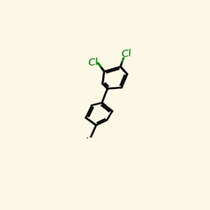 [CH2]c1ccc(-c2ccc(Cl)c(Cl)c2)cc1